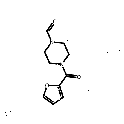 O=CN1CCN(C(=O)c2ccco2)CC1